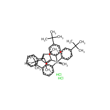 Cl.Cl.[CH2]=[Zr]([C]1=C(C)C(C(C)(C)C)=CC1C)([c]1ccc(C(C)(C)C)cc1)([c]1ccc(C(C)(C)C)cc1)[c]1cccc2c1Cc1ccccc1-2